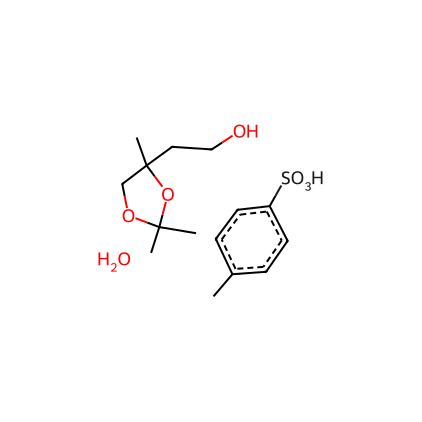 CC1(CCO)COC(C)(C)O1.Cc1ccc(S(=O)(=O)O)cc1.O